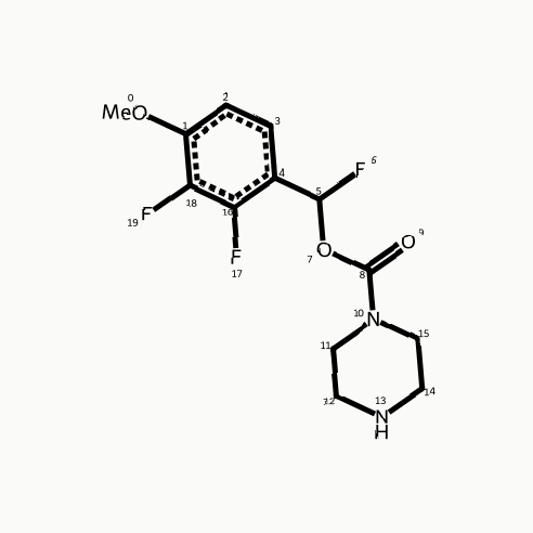 COc1ccc(C(F)OC(=O)N2CCNCC2)c(F)c1F